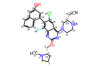 CN1CCC[C@H]1COc1nc(N2CCN[C@@H](CC#N)C2)c2cc(Cl)c(-c3cc(O)cc4ccccc34)c(F)c2n1